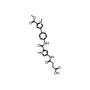 COC(=O)c1cc(-c2ccc(NC(=O)c3cc(NC(=O)CCC(=O)O)cn3C)cc2)cn1C